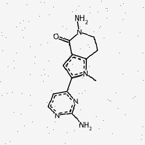 Cn1c(-c2ccnc(N)n2)cc2c1CCN(N)C2=O